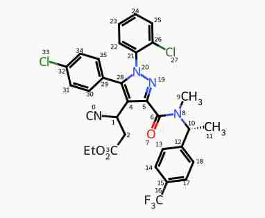 [C-]#[N+]C(CC(=O)OCC)c1c(C(=O)N(C)[C@H](C)c2ccc(C(F)(F)F)cc2)nn(-c2ccccc2Cl)c1-c1ccc(Cl)cc1